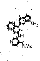 CNCc1ccncc1Nc1cc(-c2ccc3ccn(C)c3c2)c2nccnc2c1